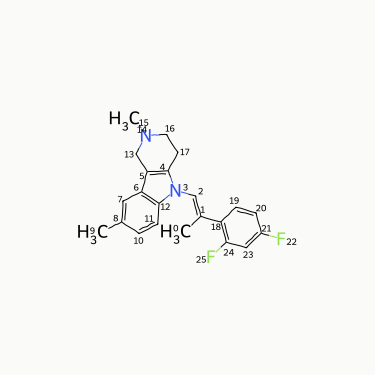 CC(=Cn1c2c(c3cc(C)ccc31)CN(C)CC2)c1ccc(F)cc1F